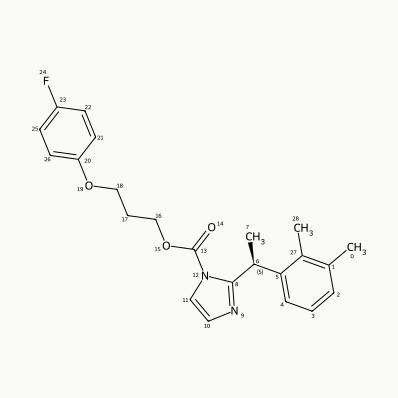 Cc1cccc([C@H](C)c2nccn2C(=O)OCCCOc2ccc(F)cc2)c1C